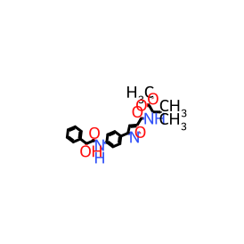 COC(=O)C(NC(=O)c1cc(-c2ccc(NC(=O)C(O)c3ccccc3)cc2)no1)C(C)C